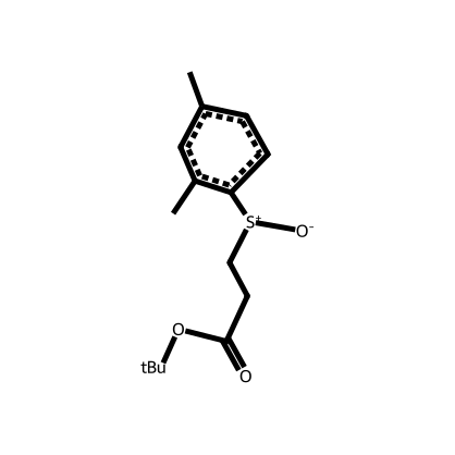 Cc1ccc([S+]([O-])CCC(=O)OC(C)(C)C)c(C)c1